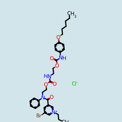 CCCCCCOc1ccc(NC(=O)OCCNC(=O)OCCN(C(=O)c2cc(Br)c[n+](CCC)c2)c2ccccc2)cc1.[Cl-]